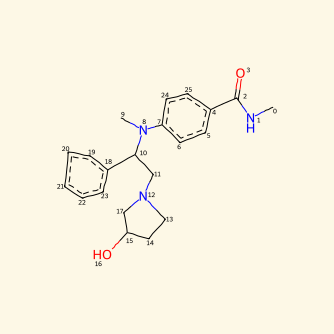 CNC(=O)c1ccc(N(C)C(CN2CCC(O)C2)c2ccccc2)cc1